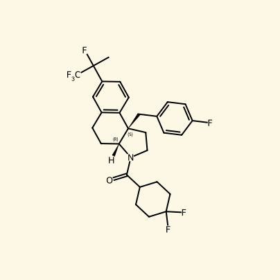 CC(F)(c1ccc2c(c1)CC[C@H]1N(C(=O)C3CCC(F)(F)CC3)CC[C@@]21Cc1ccc(F)cc1)C(F)(F)F